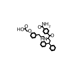 NC(=O)c1ccc(C(=O)C(CC(c2ccccc2)c2ccccc2)NCCCc2cccc(OCC(=O)O)c2)cc1